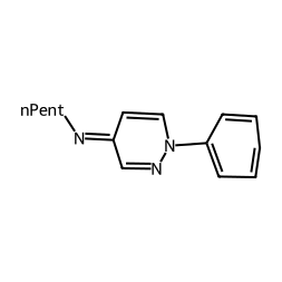 CCCCCN=c1ccn(-c2ccccc2)nc1